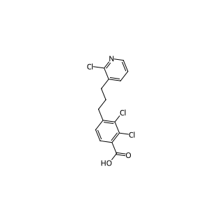 O=C(O)c1ccc(CCCc2cccnc2Cl)c(Cl)c1Cl